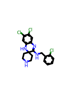 Clc1cc2c(cc1Cl)NC1(CCNCC1)C(NCc1ccccc1Cl)=N2